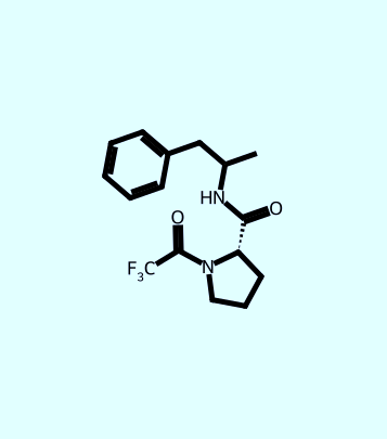 CC(Cc1ccccc1)NC(=O)[C@@H]1CCCN1C(=O)C(F)(F)F